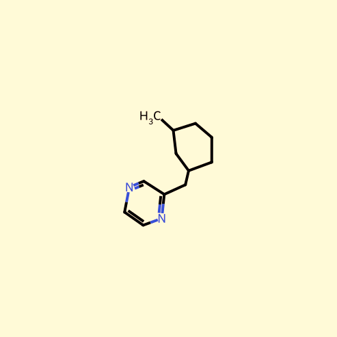 CC1CCCC(Cc2cnccn2)C1